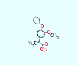 C=C(C(=O)O)c1ccc(OC2CCCC2)c(OC)c1